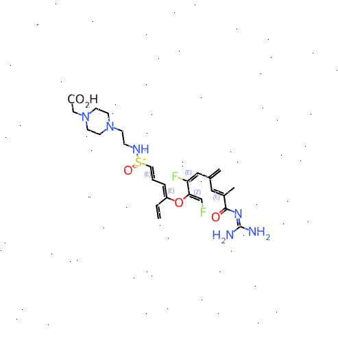 C=C/C(=C\C=C\[S+]([O-])NCCN1CCN(CC(=O)O)CC1)OC(=C\F)/C(F)=C\C(=C)/C=C(\C)C(=O)N=C(N)N